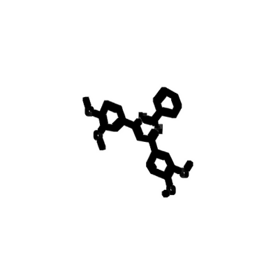 COc1ccc(-c2cc(-c3ccc(OC)c(OC)c3)nc(-c3ccccc3)n2)cc1OC